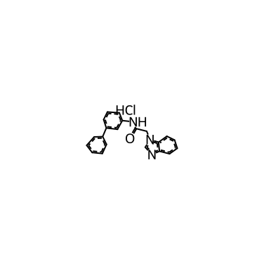 Cl.O=C(Cn1cnc2ccccc21)Nc1cccc(-c2ccccc2)c1